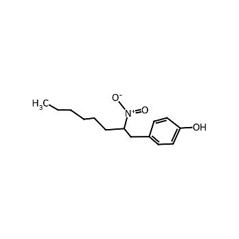 CCCCCCC(Cc1ccc(O)cc1)[N+](=O)[O-]